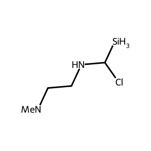 CNCCNC([SiH3])Cl